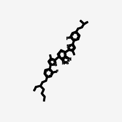 CCCCC(CC)CCc1ccc(-c2cc(C)c(-c3ccc(-c4sc(-c5ccc(CCC(C)C)cc5F)cc4C)c4nsnc34)s2)c(F)c1